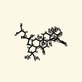 CC1(C)CC[C@]2(CC(=O)NCC(F)F)CC[C@]3(C)C(C(=O)C[C@@H]4[C@@]5(C)C=C(C#N)C(=O)C(C)(C)[C@@H]5CC[C@]43C)C2C1